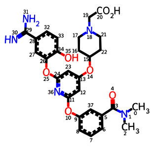 CN(C)C(=O)c1cccc(Oc2cc(OC3CCN(CC(=O)O)CC3)cc(Oc3cc(C(=N)N)ccc3O)n2)c1